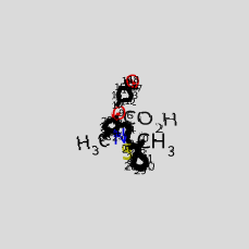 Cc1c(-c2cc(C(=O)O)c3c(OCC4CCC5(CC4)COC5)ccc(C)c3n2)sc2ccccc12